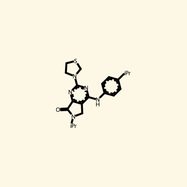 CC(C)c1ccc(Nc2nc(N3CCSC3)nc3c2CN(C(C)C)C3=O)cc1